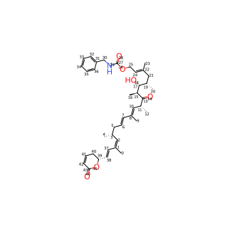 CC(=C/[C@H](C)C/C=C/C(C)=C/[C@@H](C)C(=O)[C@@H](C)[C@H](O)[C@@H](C)C/C(C)=C/COC(=O)NCc1ccccc1)/C=C/[C@H]1CC=CC(=O)O1